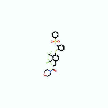 O=C(C=Cc1ccc(Sc2ccccc2NS(=O)(=O)c2ccccc2)c(C(F)(F)F)c1C(F)(F)F)N1CCOCC1